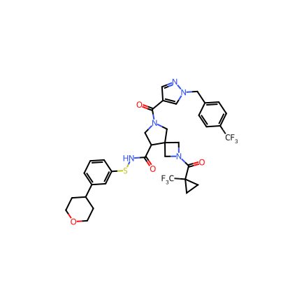 O=C(NSc1cccc(C2CCOCC2)c1)C1CN(C(=O)c2cnn(Cc3ccc(C(F)(F)F)cc3)c2)CC12CN(C(=O)C1(C(F)(F)F)CC1)C2